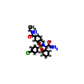 CCNC(=O)c1ccc(CN([C@@H](C(N)=O)c2ccccc2)S(=O)(=O)c2ccc(Cl)cc2)cc1